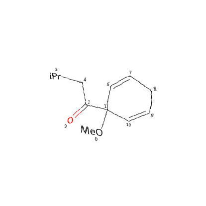 COC1(C(=O)CC(C)C)C=CCC=C1